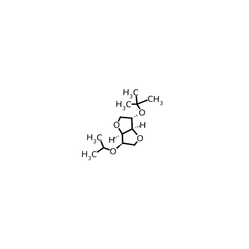 CC(C)O[C@@H]1CO[C@H]2[C@@H]1OC[C@@H]2OC(C)(C)C